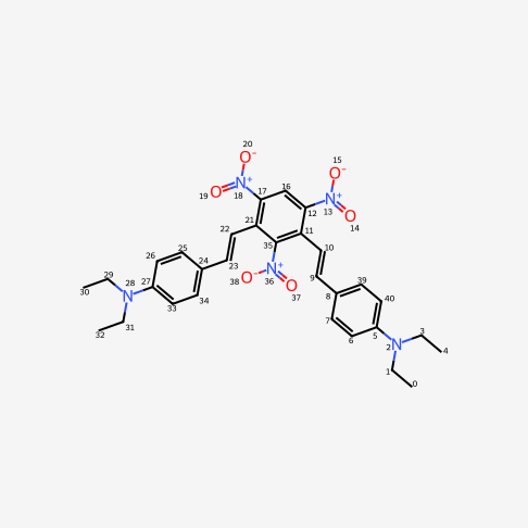 CCN(CC)c1ccc(C=Cc2c([N+](=O)[O-])cc([N+](=O)[O-])c(C=Cc3ccc(N(CC)CC)cc3)c2[N+](=O)[O-])cc1